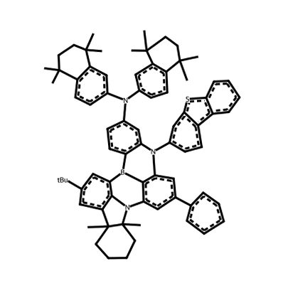 CC(C)(C)c1cc2c3c(c1)C1(C)CCCCC1(C)N3c1cc(-c3ccccc3)cc3c1B2c1ccc(N(c2ccc4c(c2)C(C)(C)CCC4(C)C)c2ccc4c(c2)C(C)(C)CCC4(C)C)cc1N3c1ccc2c(c1)sc1ccccc12